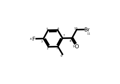 Cc1cc(F)ccc1C(=O)CBr